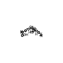 Cc1ncsc1-c1ccc(C(C)NC(=O)[C@@H]2C[C@@H](O)CN2C(=O)C(NC(=O)C2CCN(c3ccc(-c4cnnc(-c5ccccc5O)c4)cc3)CC2)C(C)(C)C)cc1